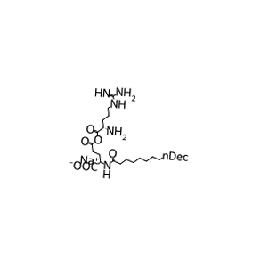 CCCCCCCCCCCCCCCCCC(=O)N[C@H](CCC(=O)OC(=O)[C@@H](N)CCCNC(=N)N)C(=O)[O-].[Na+]